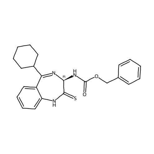 O=C(N[C@@H]1N=C(C2CCCCC2)c2ccccc2NC1=S)OCc1ccccc1